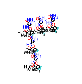 COc1c([C@@H]2[C@@H](C)[C@@H](C)O[C@H]2C(=O)Nc2ccnc(C(N)=O)c2)ccc(F)c1F.COc1c([C@H]2[C@@H](C)[C@@H](C)O[C@@H]2C(=O)Nc2ccnc(C(N)=O)c2)ccc(F)c1F.COc1c([C@H]2[C@@H](C)[C@@H](C)O[C@H]2C(=O)Nc2ccnc(C(N)=O)c2)ccc(F)c1F.COc1c([C@H]2[C@@H](C)[C@H](C)O[C@H]2C(=O)Nc2ccnc(C(N)=O)c2)ccc(F)c1F.COc1c([C@H]2[C@H](C)[C@@H](C)O[C@H]2C(=O)Nc2ccnc(C(N)=O)c2)ccc(F)c1F